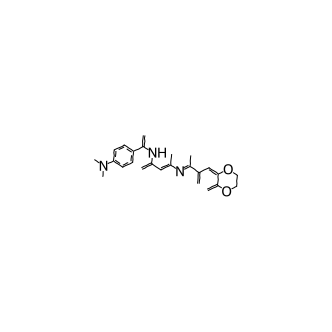 C=C(/C=C(C)/N=C(\C)C(=C)/C=C1/OCCOC1=C)NC(=C)c1ccc(N(C)C)cc1